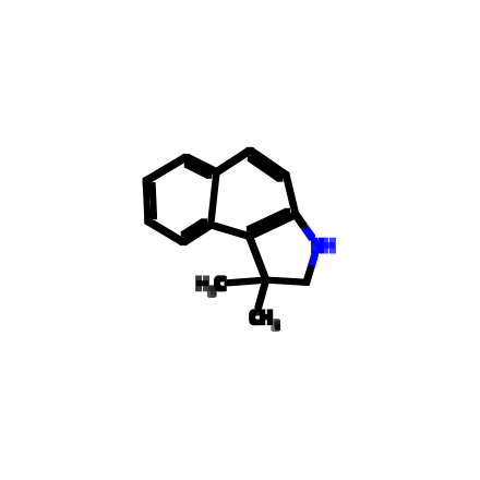 CC1(C)CNc2ccc3ccccc3c21